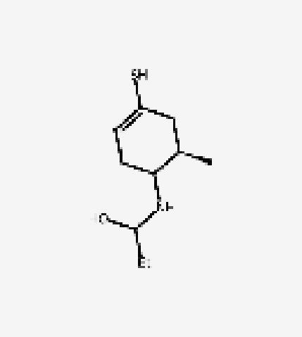 CCC(O)NC1CC=C(S)C[C@H]1C